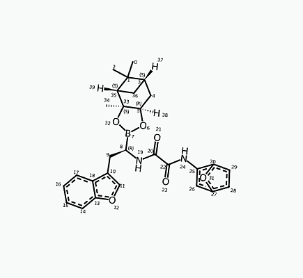 CC1(C)[C@@H]2C[C@H]3OB([C@H](Cc4coc5ccccc45)NC(=O)C(=O)Nc4cc5ccc4o5)O[C@@]3(C)[C@H]1C2